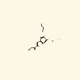 COCOc1cc2sc(C(=O)C[C@H](C)C(=O)O)cc2c(F)c1OCCCBr